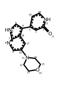 O=c1cc(-c2c[nH]c3ncc(N4CCOCC4)cc23)cc[nH]1